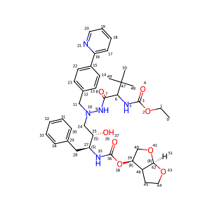 CCOC(=O)NC(C(=O)NN(Cc1ccc(-c2ccccn2)cc1)C[C@H](O)[C@H](Cc1ccccc1)NC(=O)O[C@H]1CO[C@H]2OCCC21)C(C)(C)C